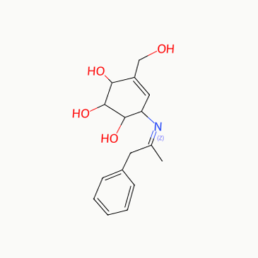 C/C(Cc1ccccc1)=N/C1C=C(CO)C(O)C(O)C1O